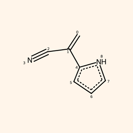 C=C(C#N)c1ccc[nH]1